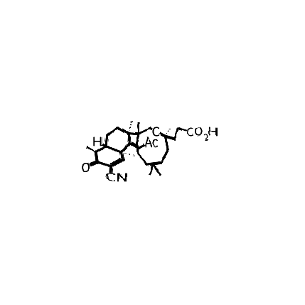 CC(=O)/C=C1/[C@@]2(C)C=C(C#N)C(=O)[C@@H](C)[C@@H]2CC[C@@]1(C)[C@@]1(C)CCCC(C)(C)CC[C@](C)(CCC(=O)O)CC1